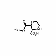 CC(C)(C)OC(=O)C1OCCNC1C(=O)O